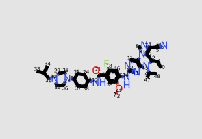 CCC1c2c(C#N)ncn2-c2cnc(Nc3cc(F)c(C(=O)NC4CCC(N5CCN(CC(C)C)CC5)CC4)cc3OC)nc2N1C(C)C